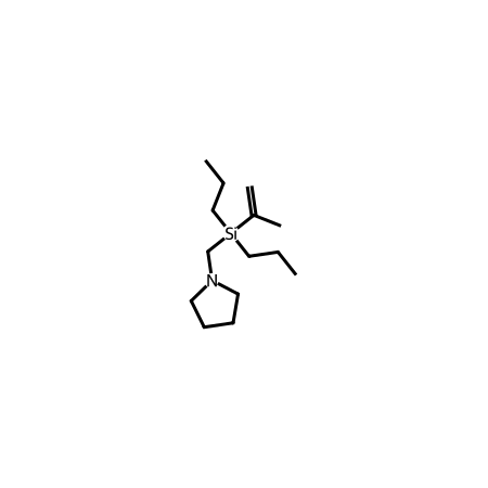 C=C(C)[Si](CCC)(CCC)CN1CCCC1